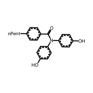 CCCCCc1ccc(C(=O)N(c2ccc(O)cc2)c2ccc(O)cc2)cc1